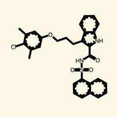 Cc1cc(OCCCc2c(C(=O)NS(=O)(=O)c3cccc4ccccc34)[nH]c3ccccc23)cc(C)c1Cl